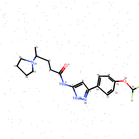 CC(CCC(=O)Nc1cc(-c2ccc(OC(F)F)cc2)n[nH]1)N1CCCC1